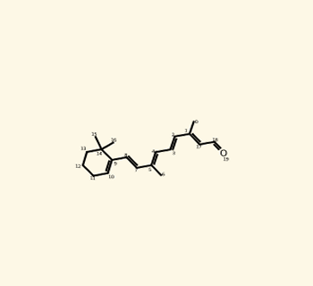 CC(C=CC=C(C)C=CC1=CCCCC1(C)C)=CC=O